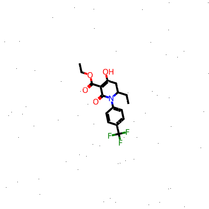 CCOC(=O)C1=C(O)CC(CC)N(c2ccc(C(F)(F)F)cc2)C1=O